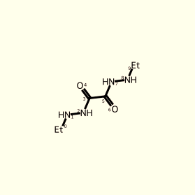 CCNNC(=O)C(=O)NNCC